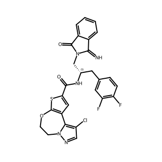 N=C1c2ccccc2C(=O)N1C[C@H](Cc1ccc(F)c(F)c1)NC(=O)c1cc2c(s1)OCCn1ncc(Cl)c1-2